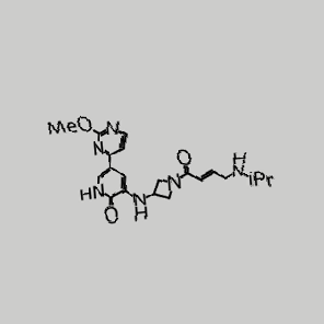 COc1nccc(-c2c[nH]c(=O)c(NC3CN(C(=O)C=CCNC(C)C)C3)c2)n1